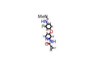 CNCNc1ccc(Oc2ccnc(NC(=O)C3CC3)c2)cc1F